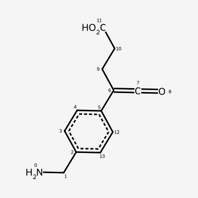 NCc1ccc(C(=C=O)CCC(=O)O)cc1